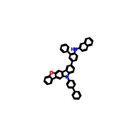 c1ccc(-c2ccc(-n3c4ccc(-c5ccc(Nc6ccc7ccccc7c6)c(-c6ccccc6)c5)cc4c4cc5oc6ccccc6c5cc43)cc2)cc1